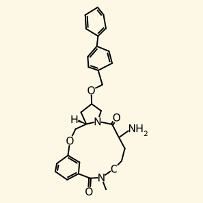 CN1CCCC(N)C(=O)N2CC(OCc3ccc(-c4ccccc4)cc3)C[C@H]2COc2cccc(c2)C1=O